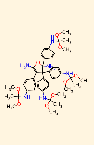 COC(C)(Nc1ccc(C2=C(N)OC(N)(c3ccc(NC(C)(OC)OC)cc3)C2(c2ccc(NC(C)(OC)OC)cc2)c2ccc(NC(C)(OC)OC)cc2)cc1)OC